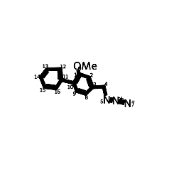 COc1cc(CN=[N+]=[N-])ccc1-c1ccccc1